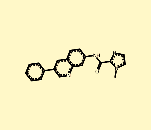 Cn1ccnc1C(=O)Nc1ccc2cc(-c3ccccc3)cnc2c1